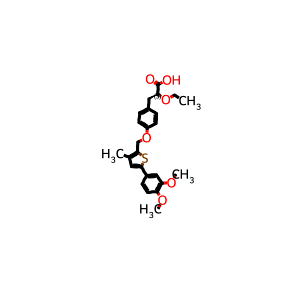 CCO[C@@H](Cc1ccc(OCc2sc(-c3ccc(OC)c(OC)c3)cc2C)cc1)C(=O)O